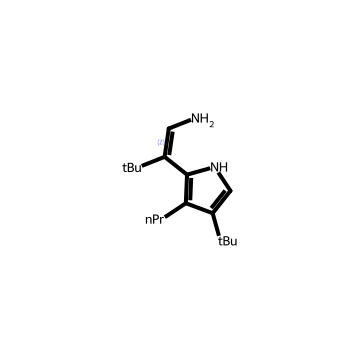 CCCc1c(C(C)(C)C)c[nH]c1/C(=C\N)C(C)(C)C